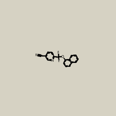 N#Cc1ccc(C(F)(F)Oc2cccc3ccccc23)nc1